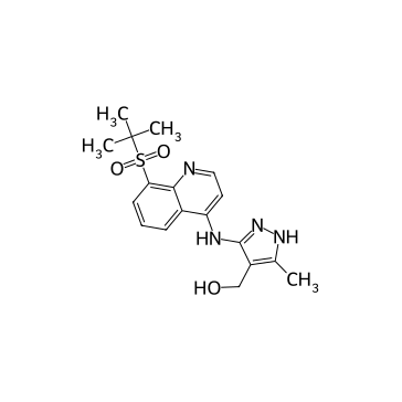 Cc1[nH]nc(Nc2ccnc3c(S(=O)(=O)C(C)(C)C)cccc23)c1CO